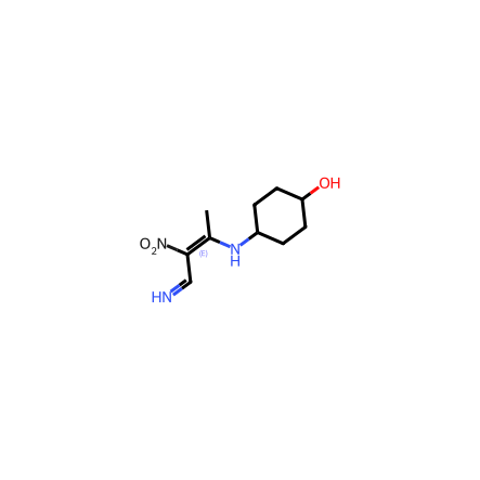 C/C(NC1CCC(O)CC1)=C(/C=N)[N+](=O)[O-]